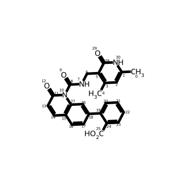 Cc1cc(C)c(CNC(=O)n2c(=O)ccc3ccc(-c4ccccc4C(=O)O)cc32)c(=O)[nH]1